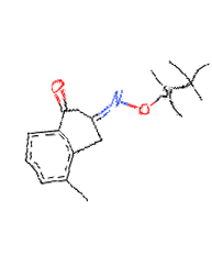 Cc1cccc2c1CC(=NO[Si](C)(C)C(C)(C)C)C2=O